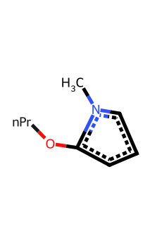 CCCOc1cccn1C